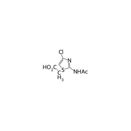 CC(=O)Nc1nc(Cl)cs1.CC(=O)O